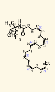 CC/C=C\C/C=C\C/C=C\C/C=C\C/C=C\C/C=C\CCC(=O)NC(C)(C)CO